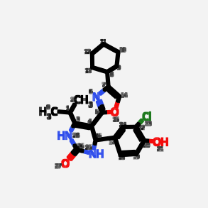 CC(C)C1=C(c2nc(C3CCCCC3)co2)C(c2ccc(O)c(Cl)c2)NC(=O)N1